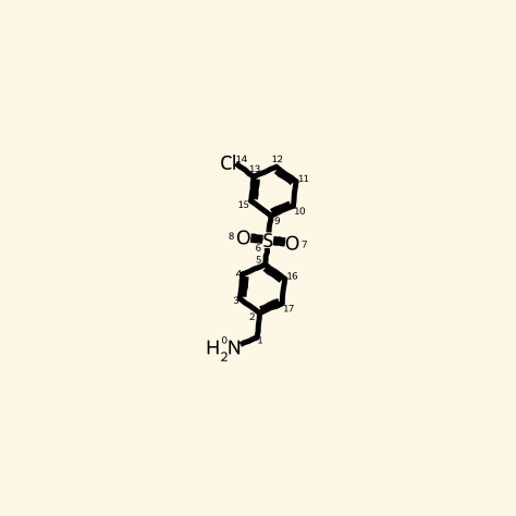 NCc1ccc(S(=O)(=O)c2cccc(Cl)c2)cc1